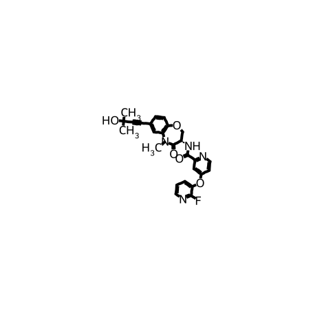 CN1C(=O)[C@@H](NC(=O)c2cc(Oc3cccnc3F)ccn2)COc2ccc(C#CC(C)(C)O)cc21